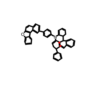 C1=CCC(C2CC=Cc3ccccc32)C(N(C2=CCC(c3ccccc3)C=C2)c2ccc(-c3ccc4ccc5oc6ccccc6c5c4c3)cc2)=C1